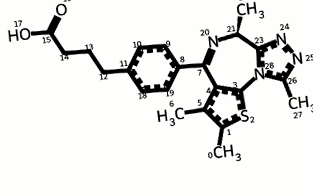 Cc1sc2c(c1C)C(c1ccc(CCCC(=O)O)cc1)=N[C@@H](C)c1nnc(C)n1-2